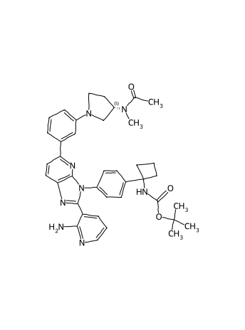 CC(=O)N(C)[C@H]1CCN(c2cccc(-c3ccc4nc(-c5cccnc5N)n(-c5ccc(C6(NC(=O)OC(C)(C)C)CCC6)cc5)c4n3)c2)C1